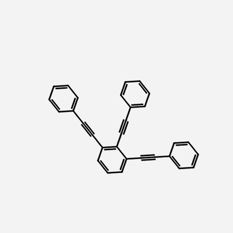 C(#Cc1cccc(C#Cc2ccccc2)c1C#Cc1ccccc1)c1ccccc1